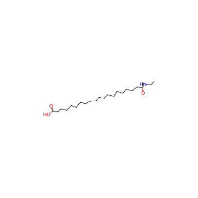 CCNC(=O)CCCCCCCCCCCCCCCCCCC(=O)O